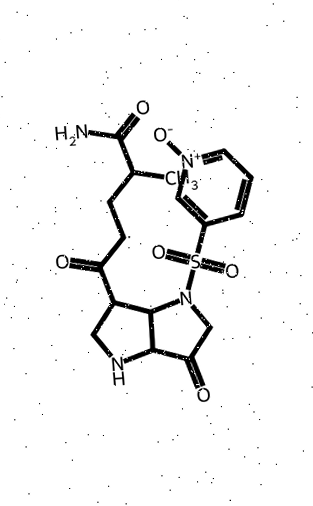 CC(C[CH]C(=O)C1CNC2C(=O)CN(S(=O)(=O)c3ccc[n+]([O-])c3)C12)C(N)=O